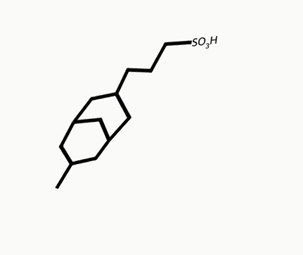 CC1CC2CC(CCCS(=O)(=O)O)CC(C1)C2